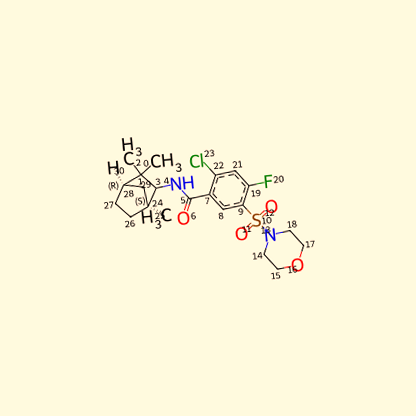 CC1(C)C(NC(=O)c2cc(S(=O)(=O)N3CCOCC3)c(F)cc2Cl)[C@@]2(C)CC[C@@H]1C2